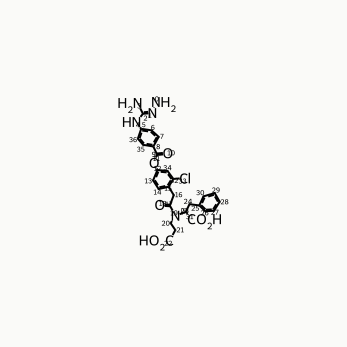 NN=C(N)Nc1ccc(C(=O)Oc2ccc(CC(=O)N(CCC(=O)O)[C@@H](Cc3ccccc3)C(=O)O)c(Cl)c2)cc1